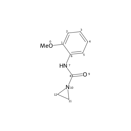 COc1ccccc1NC(=O)N1CC1